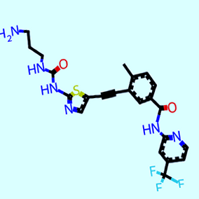 Cc1ccc(C(=O)Nc2cc(C(F)(F)F)ccn2)cc1C#Cc1cnc(NC(=O)NCCCN)s1